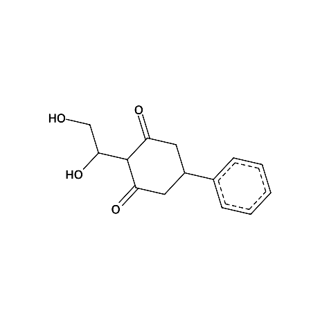 O=C1CC(c2ccccc2)CC(=O)C1C(O)CO